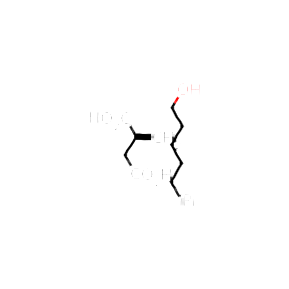 C=C(CC(=O)O)C(=O)O.CC(C)CCCCCO